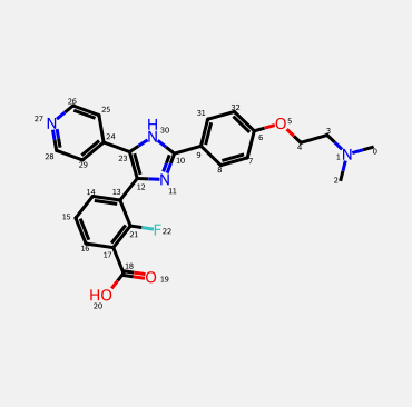 CN(C)CCOc1ccc(-c2nc(-c3cccc(C(=O)O)c3F)c(-c3ccncc3)[nH]2)cc1